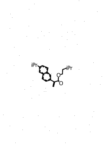 C=C(C(=O)OCCC(C)C)c1ccc2cc(C(C)C)ccc2c1